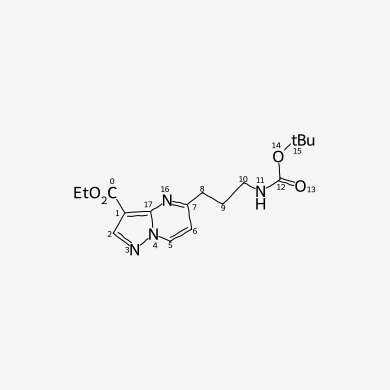 CCOC(=O)c1cnn2ccc(CCCNC(=O)OC(C)(C)C)nc12